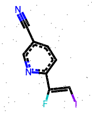 N#Cc1ccc(/C(F)=C/I)nc1